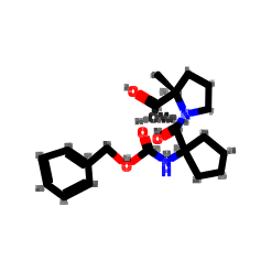 COC(=O)[C@]1(C)CCCN1C(=O)C1(NC(=O)OCc2ccccc2)CCCC1